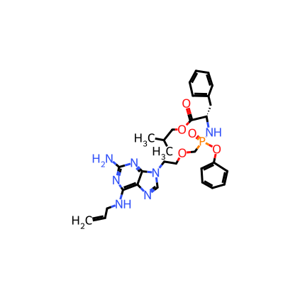 C=CCNc1nc(N)nc2c1ncn2CCOCP(=O)(N[C@@H](Cc1ccccc1)C(=O)OCC(C)C)Oc1ccccc1